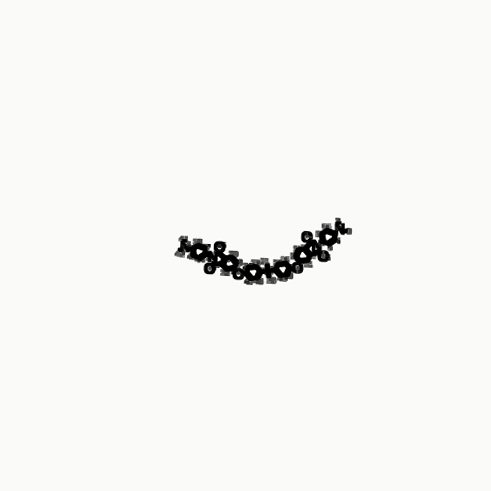 CN(C)c1ccc(N2C(=O)c3ccc(Oc4ccc(C(C)(C)c5ccc(Oc6ccc7c(c6)C(=O)N(c6ccc(N(C)C)cc6)C7=O)cc5)cc4)cc3C2=O)cc1